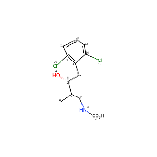 CC(CNC(=O)O)[C@H](O)Cc1c(Cl)cccc1Cl